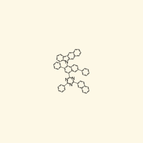 c1ccc(-c2ccc3c(-n4c5ccccc5c5cc6ccccc6cc54)c(-c4ccccc4)cc(-c4nc(-c5ccccc5)nc(-c5ccc6ccccc6c5)n4)c3c2)cc1